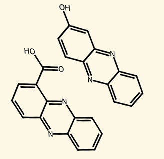 O=C(O)c1cccc2nc3ccccc3nc12.Oc1ccc2nc3ccccc3nc2c1